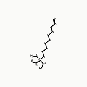 C=CCCCCCCCC[Si](CC)(CC)CC